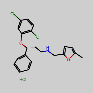 Cc1ccc(CNCC[C@@H](Oc2cc(Cl)ccc2Cl)c2ccccc2)o1.Cl